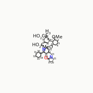 COc1cccc(OC)c1C1=CC(C)(C(=O)O)CC(C(=O)O)=C1.O=C1CCCN1Cc1ccnc(-c2ccccc2)c1